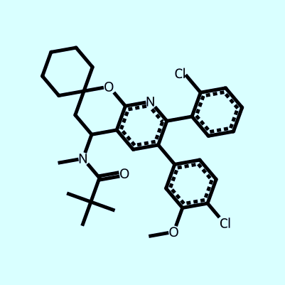 COc1cc(-c2cc3c(nc2-c2ccccc2Cl)OC2(CCCCC2)CC3N(C)C(=O)C(C)(C)C)ccc1Cl